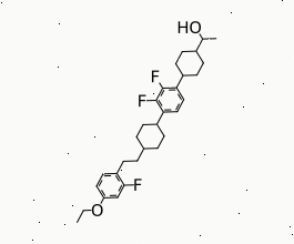 CCOc1ccc(CCC2CCC(c3ccc(C4CCC(C(C)O)CC4)c(F)c3F)CC2)c(F)c1